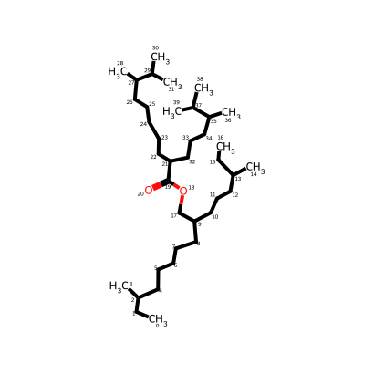 CCC(C)CCCCCC(CCCC(C)CC)COC(=O)C(CCCCCC(C)C(C)C)CCCC(C)C(C)C